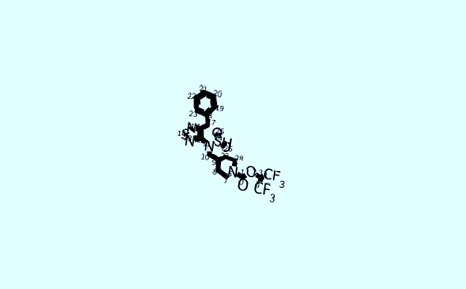 O=C(OC(C(F)(F)F)C(F)(F)F)N1CCC(CN(c2nsnc2Cc2ccccc2)[SH](=O)=O)CC1